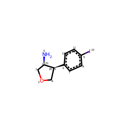 N[C@@H]1COC[C@@H]1c1ccc(I)cc1